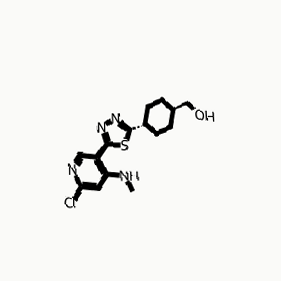 CNc1cc(Cl)ncc1-c1nnc([C@H]2CC[C@H](CO)CC2)s1